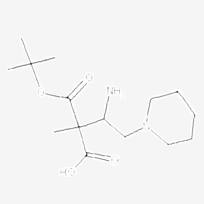 CC(C)(C)OC(=O)C(C)(C(=O)O)C(N)CN1CCCCC1